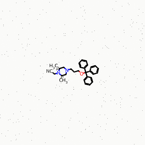 C[C@@H]1CN(CCCOC(c2ccccc2)(c2ccccc2)c2ccccc2)C[C@H](C)N1CC#N